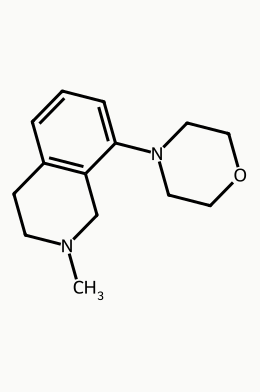 CN1CCc2cccc(N3CCOCC3)c2C1